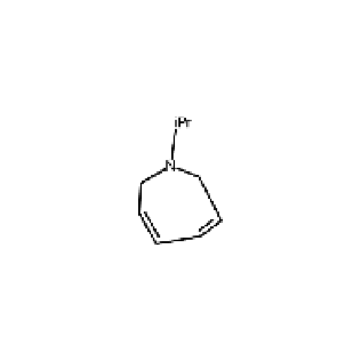 CC(C)N1CC=CC=CC1